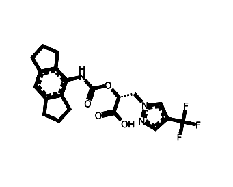 O=C(Nc1c2c(cc3c1CCC3)CCC2)O[C@H](Cn1cc(C(F)(F)F)cn1)C(=O)O